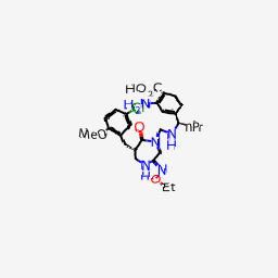 CCC[C@@H](NCN1CC(=NOCC)NC[C@@H](Cc2cc(Cl)ccc2OC)C1=O)c1ccc(C(=O)O)c(N)c1